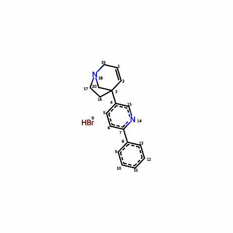 Br.C1=CC2(c3ccc(-c4ccccc4)nc3)CCN(C1)C2